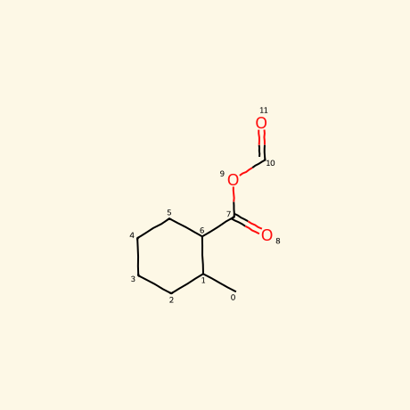 CC1CCCCC1C(=O)OC=O